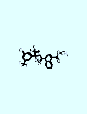 COC(=O)c1ccc(C(=O)CC(O)(c2cc(Cl)cc(C(F)(F)F)c2)C(F)(F)F)c2ccccc12